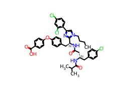 CCCCn1cc(-c2ccc(Cl)cc2Cl)nc1[C@H](Cc1ccc(Oc2ccc(C(=O)O)cc2)cc1)NC(=O)C[C@H](Cc1ccc(Cl)cc1)NC(=O)C(C)C